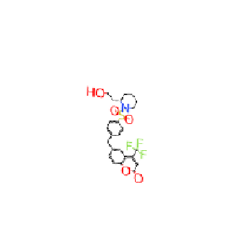 O=c1cc(C(F)(F)F)c2cc(Cc3ccc(S(=O)(=O)N4CCCCC4CCO)cc3)ccc2o1